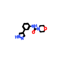 O=C(Nc1cccc(-c2cn[nH]c2)c1)N1CCOCC1